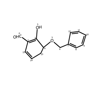 O=CC1=C(O)C(OCc2ccccc2)CC=C1